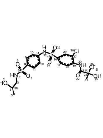 C[C@@H](O)CNS(=O)(=O)c1ccc(NS(=O)(=O)c2ccc(NC(=O)[C@@](C)(O)C(F)(F)F)c(Cl)c2)cc1